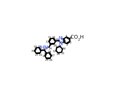 O=C(O)c1ccc2c(c1)nc(-c1cccc(CNC(c3ccccc3)c3ccccc3)c1)n2C1CCCCC1